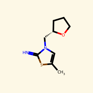 Cc1cn(C[C@@H]2CCCO2)c(=N)s1